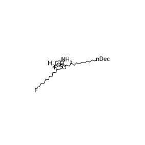 C=CCN.CCCCCCCCCCCCCCCCCCCCCCOS(=O)(=O)CC(F)CCCCCCCCCCF